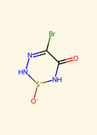 O=C1N[S+]([O-])NN=C1Br